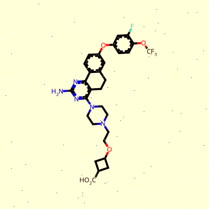 Nc1nc2c(c(N3CCN(CCOC4CC(C(=O)O)C4)CC3)n1)CCc1cc(Oc3ccc(OC(F)(F)F)c(F)c3)ccc1-2